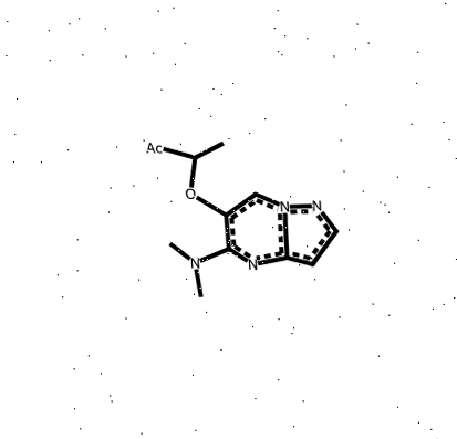 CC(=O)C(C)Oc1cn2nccc2nc1N(C)C